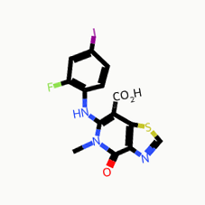 Cn1c(Nc2ccc(I)cc2F)c(C(=O)O)c2scnc2c1=O